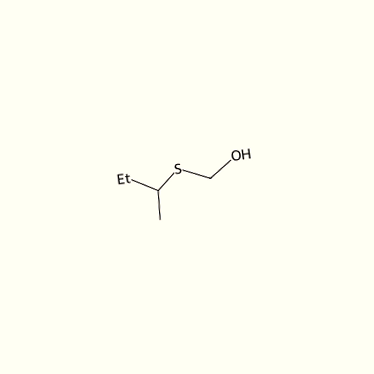 CCC(C)SCO